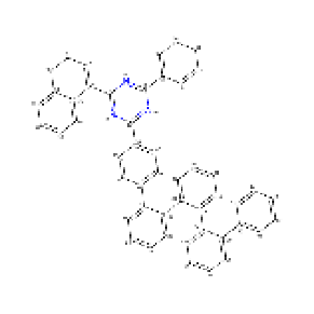 C1=CC(c2nc(C3=CCCc4ccccc43)nc(-c3ccc(-c4ccccc4-c4ccccc4-c4ccccc4-c4ccccc4)cc3)n2)=CCC1